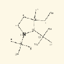 CCC1(C)CCN(C(C)(C)C)C1C(C)(C)C